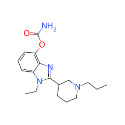 CCCN1CCCC(c2nc3c(OC(N)=O)cccc3n2CC)C1